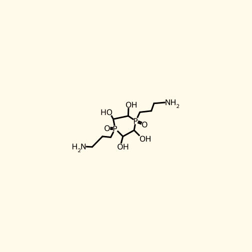 NCCCP1(=O)C(O)C(O)P(=O)(CCCN)C(O)C1O